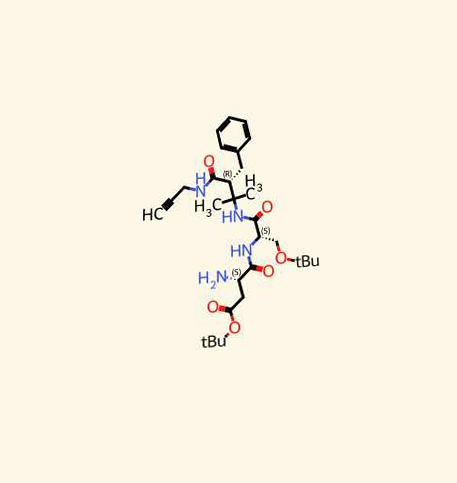 C#CCNC(=O)[C@H](Cc1ccccc1)C(C)(C)NC(=O)[C@H](COC(C)(C)C)NC(=O)[C@@H](N)CC(=O)OC(C)(C)C